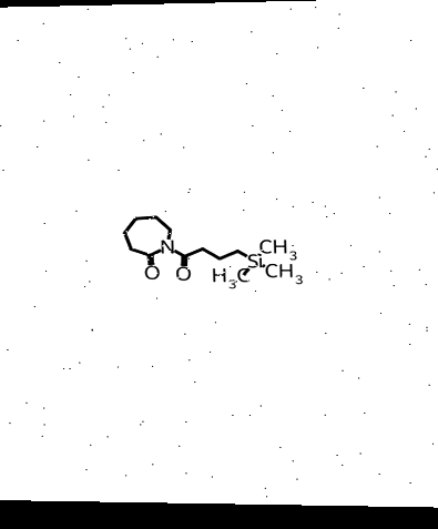 C[Si](C)(C)CCCC(=O)N1CCCCCC1=O